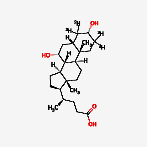 [2H]C1([2H])C[C@@]2(C)[C@H](C[C@@H](O)[C@@H]3[C@@H]2CC[C@]2(C)[C@@H]([C@H](C)CCC(=O)O)CC[C@@H]32)C([2H])([2H])[C@@H]1O